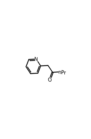 CCCC(=O)Cc1ccccn1